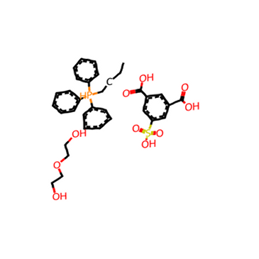 CCCC[PH](c1ccccc1)(c1ccccc1)c1ccccc1.O=C(O)c1cc(C(=O)O)cc(S(=O)(=O)O)c1.OCCOCCO